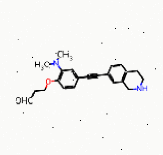 CN(C)c1cc(C#Cc2ccc3c(c2)CNCC3)ccc1OCCC=O